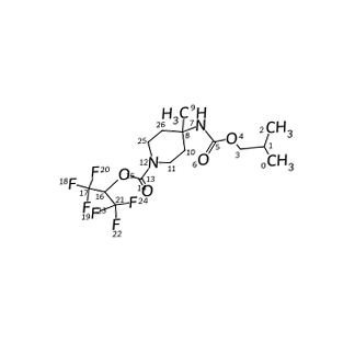 CC(C)COC(=O)NC1(C)CCN(C(=O)OC(C(F)(F)F)C(F)(F)F)CC1